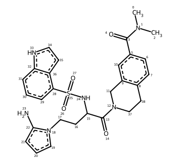 CN(C)C(=O)c1ccc2c(c1)CN(C(=O)C(CCn1cccc1N)NS(=O)(=O)c1cccc3[nH]ccc13)CC2